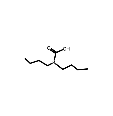 CCCCB(CCCC)C(=O)O